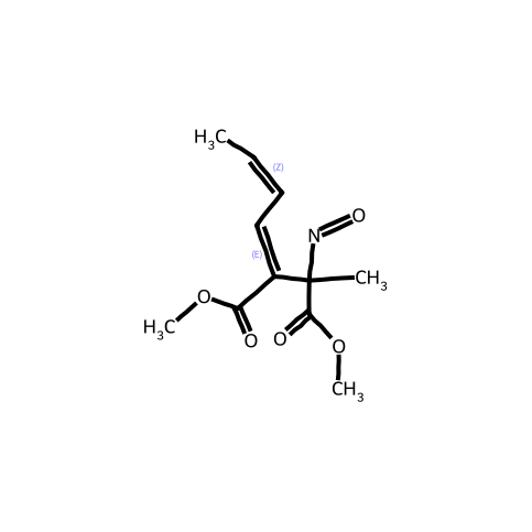 C/C=C\C=C(\C(=O)OC)C(C)(N=O)C(=O)OC